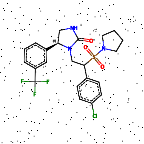 O=C1NC[C@H](c2cccc(C(F)(F)F)c2)N1CC(c1ccc(Cl)cc1)S(=O)(=O)N1CCCC1